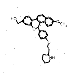 COc1ccc2c3c(ccc2c1)-c1ccc(CO)cc1OC3c1ccc(OCCC2CCCCN2)cc1